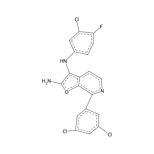 Nc1oc2c(-c3cc(Cl)cc(Cl)c3)nccc2c1Nc1ccc(F)c(Cl)c1